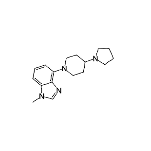 Cn1cnc2c(N3CCC(N4CCCC4)CC3)cccc21